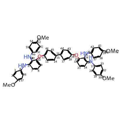 COc1ccc(Nc2cccc(Oc3ccc(-c4ccc(Oc5cccc(Nc6ccc(OC)cc6)c5Nc5ccc(OC)cc5)cc4)cc3)c2Nc2ccc(OC)cc2)cc1